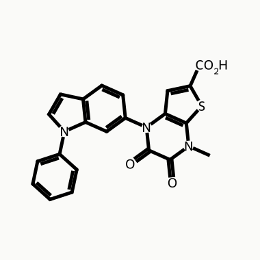 Cn1c(=O)c(=O)n(-c2ccc3ccn(-c4ccccc4)c3c2)c2cc(C(=O)O)sc21